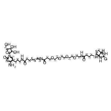 Nc1nc(=O)n([C@@H]2O[C@H](CO)C(O)[C@@H]2O)cc1CCCNC(=O)CCSSCCNC(=O)CCOCCOCCOCCOCCNC(=O)CCCC[C@@H]1SC[C@@H]2NC(=O)N[C@@H]21